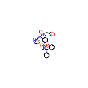 CN(C(c1ccccc1)c1ccccc1)S(=O)(=O)c1ccc2c(c1)/C(=C\c1nccs1)C(=O)N2CC1COC1